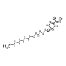 CCCCCCCCCCCCCCCCOc1ccc(C(=O)C=O)cc1